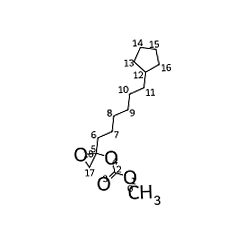 COC(=O)OC1(CCCCCCC2CCCC2)CO1